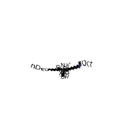 CCCCCCCC/C=C\CCCCCCCC(=O)O[C@H](COC(=O)CCCCCCCCCCCCCCCCC)COP(=O)([O-])O.[Na+]